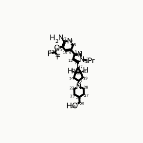 CC(C)n1nc(-c2cnc(N)c(OC(F)F)c2)cc1[C@H]1[C@@H]2C[C@H](N3CCC(CO)CC3)C[C@@H]21